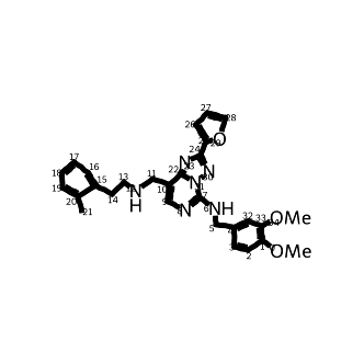 COc1ccc(CNc2ncc(CNCCc3ccccc3C)c3nc(-c4ccco4)nn23)cc1OC